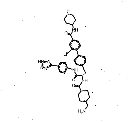 NCC1CCC(C(=O)N[C@@H](Cc2ccc(-c3ccc(C(=O)NC4CCNCC4)cc3Cl)cc2)C(=O)Nc2ccc(-c3nn[nH]n3)cc2)CC1